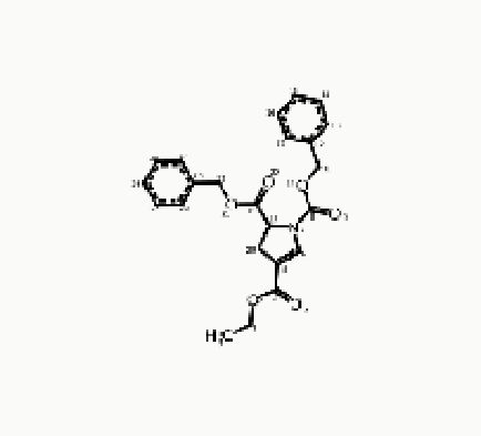 CCOC(=O)C1=CN(C(=O)OCc2ccccc2)C(C(=O)OCc2ccccc2)C1